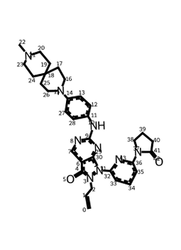 C=CCn1c(=O)c2cnc(Nc3ccc(N4CCC5(CCN(C)CC5)CC4)cc3)nc2n1-c1cccc(N2CCCC2=O)n1